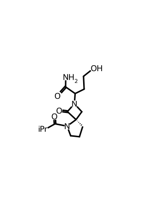 CC(C)C(=O)N1CCC[C@]12CN(C(CCO)C(N)=O)C2=O